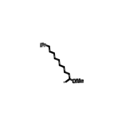 [CH2]C(CCCCCCCCCC(C)C)OC